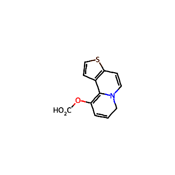 O=C(O)OC1=C2c3ccsc3C=CN2CC=C1